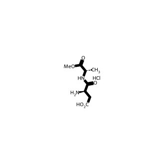 COC(=O)[C@H](C)NC(=O)[C@H](N)CC(=O)O.Cl